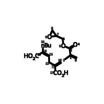 C=C(C)C(=O)OCC1CO1.C=C(CC=C(CCCC)C(=O)O)C(=O)O